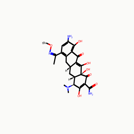 C/C(=N/OC(C)(C)C)c1cc(N)c(O)c2c1C[C@H]1C[C@H]3[C@H](N(C)C)C(O)=C(C(N)=O)C(=O)[C@@]3(O)C(O)=C1C2=O